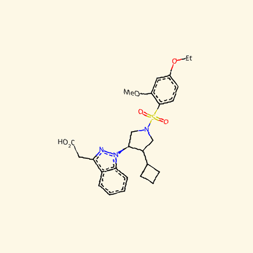 CCOc1ccc(S(=O)(=O)N2CC(C3CCC3)[C@@H](n3nc(CC(=O)O)c4ccccc43)C2)c(OC)c1